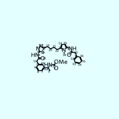 COC(=O)NC(C)c1cccc(CC(=O)Nc2nnc(CCCCc3ccc(NC(=O)Cc4ccccc4)n3C)s2)c1